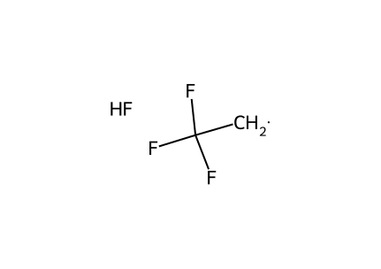 F.[CH2]C(F)(F)F